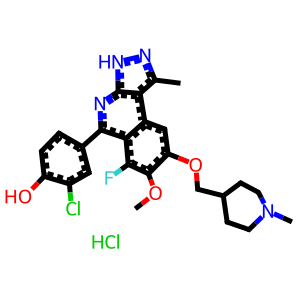 COc1c(OCC2CCN(C)CC2)cc2c(c(-c3ccc(O)c(Cl)c3)nc3[nH]nc(C)c32)c1F.Cl